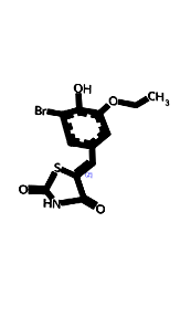 CCOc1cc(/C=C2\SC(=O)NC2=O)cc(Br)c1O